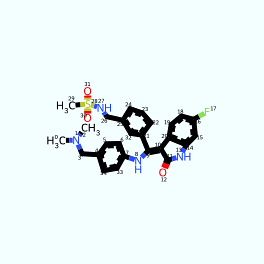 CN(C)Cc1ccc(N/C(=C2\C(=O)Nc3cc(F)ccc32)c2cccc(CNS(C)(=O)=O)c2)cc1